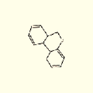 C1=CCC2C(=C1)OCC1C=CC=CC12